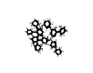 c1ccc(-c2ccc(N(c3ccc(-c4c(-c5ccc6oc7ccccc7c6c5-c5ccccc5)ccc5oc6ccccc6c45)cc3)c3cc(-c4ccccc4)cc(-c4ccccc4)c3)cc2)cc1